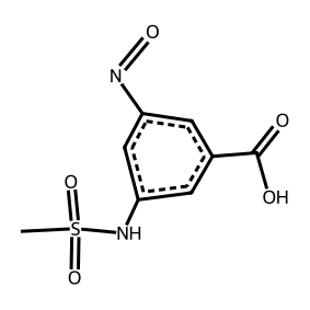 CS(=O)(=O)Nc1cc(N=O)cc(C(=O)O)c1